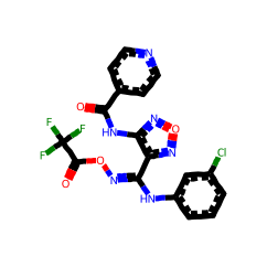 O=C(Nc1nonc1/C(=N\OC(=O)C(F)(F)F)Nc1cccc(Cl)c1)c1ccncc1